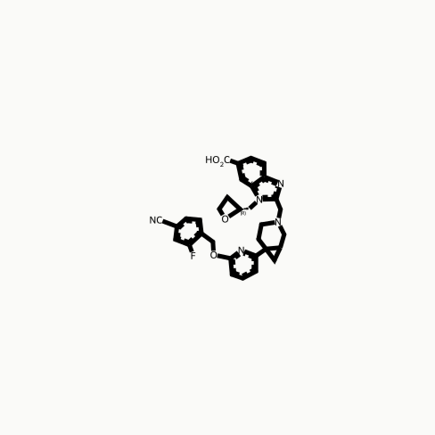 N#Cc1ccc(COc2cccc(C34CCN(Cc5nc6ccc(C(=O)O)cc6n5C[C@H]5CCO5)CC3C4)n2)c(F)c1